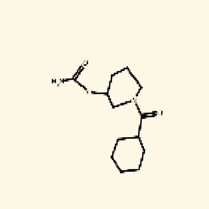 NC(=O)OC1CCCN(C(=O)C2CCCCC2)C1